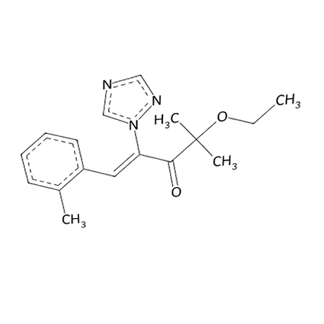 CCOC(C)(C)C(=O)C(=Cc1ccccc1C)n1cncn1